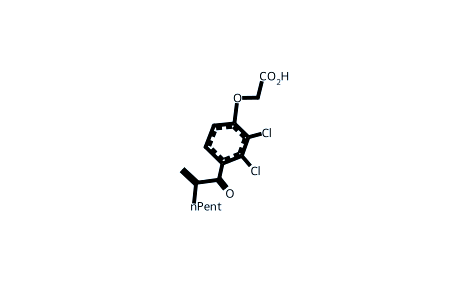 C=C(CCCCC)C(=O)c1ccc(OCC(=O)O)c(Cl)c1Cl